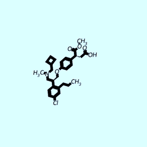 CCCc1cc(Cl)ccc1[C@H](COc1ccc([C@@H](CC(=O)O)C(=O)OC)cc1)CN(C)CC1CCC1